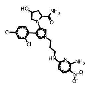 NC(=O)[C@@H]1CC(O)CN1c1cn(CCCNc2ccc([N+](=O)[O-])c(N)n2)cc1-c1ccc(Cl)cc1Cl